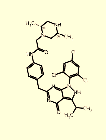 CC(C)c1[nH]n(-c2c(Cl)cc(Cl)cc2Cl)c2nc(Cc3ccc(NC(=O)CN4C[C@H](C)NC[C@H]4C)cc3)nc(=O)c1-2